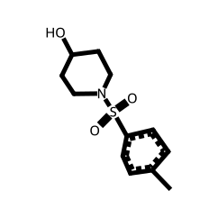 Cc1ccc(S(=O)(=O)N2CCC(O)CC2)cc1